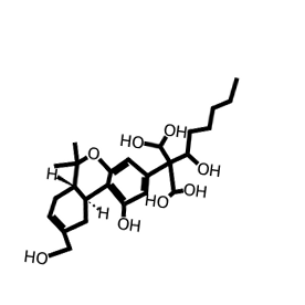 CCCCCC(O)C(c1cc(O)c2c(c1)OC(C)(C)[C@H]1CC=C(CO)C[C@H]21)(C(O)O)C(O)O